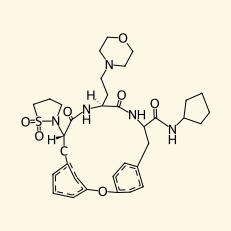 O=C(NC1CCCC1)C1Cc2ccc(cc2)Oc2cccc(c2)C[C@H](N2CCCS2(=O)=O)C(=O)N[C@@H](CCN2CCOCC2)C(=O)N1